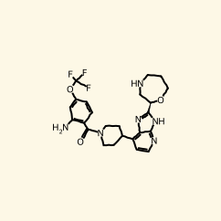 Nc1cc(OC(F)(F)F)ccc1C(=O)N1CCC(c2ccnc3[nH]c([C@H]4CNCCCO4)nc23)CC1